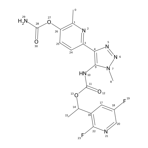 Cc1nc(-c2nnn(C)c2NC(=O)OC(C)c2cc(F)cnc2F)ccc1OC(N)=O